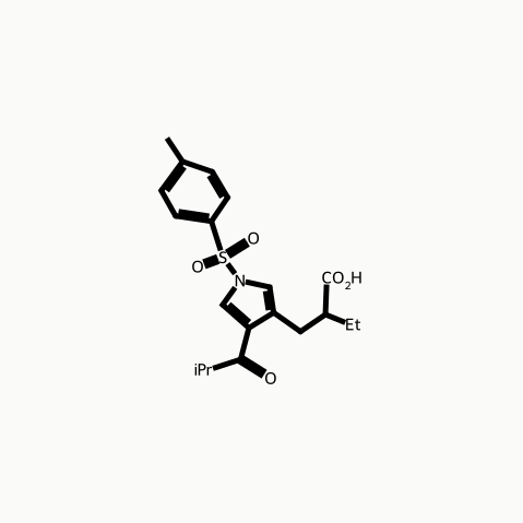 CCC(Cc1cn(S(=O)(=O)c2ccc(C)cc2)cc1C(=O)C(C)C)C(=O)O